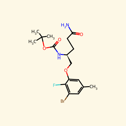 Cc1cc(Br)c(F)c(OC[C@H](CCC(N)=O)NC(=O)OC(C)(C)C)c1